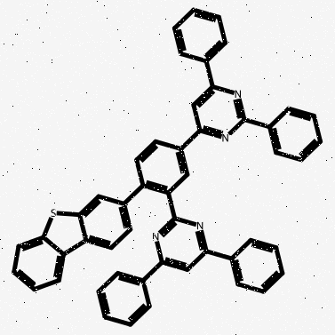 c1ccc(-c2cc(-c3ccc(-c4ccc5c(c4)sc4ccccc45)c(-c4nc(-c5ccccc5)cc(-c5ccccc5)n4)c3)nc(-c3ccccc3)n2)cc1